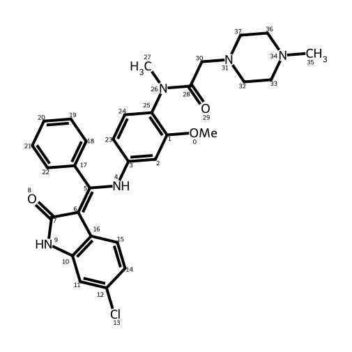 COc1cc(NC(=C2C(=O)Nc3cc(Cl)ccc32)c2ccccc2)ccc1N(C)C(=O)CN1CCN(C)CC1